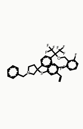 C=Cc1cc(SC2(c3ccc(C(OCc4c(F)cccc4F)(C(F)(F)F)C(F)(F)F)cc3)CCN(Cc3ccccc3)C2)ccc1F